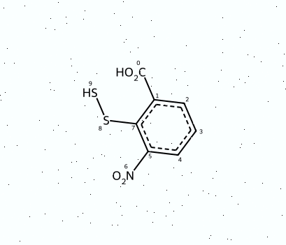 O=C(O)c1cccc([N+](=O)[O-])c1SS